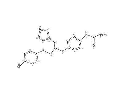 CCCCCC(=O)Nc1ccc(SC(CCc2ccc(Cl)cc2)Cn2ccnc2)cc1